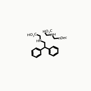 CCCCCCCCCCCNCC(=O)O.O=C(O)CNCC(c1ccccc1)c1ccccc1